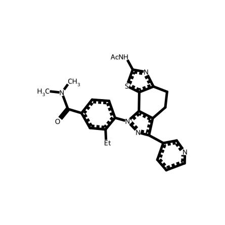 CCc1cc(C(=O)N(C)C)ccc1-n1nc(-c2cccnc2)c2c1-c1sc(NC(C)=O)nc1CC2